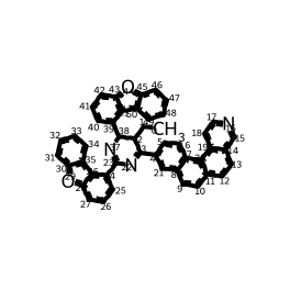 CCC1C(c2ccc3c(ccc4ccc5cnccc5c43)c2)=NC(c2cccc3oc4ccccc4c23)=NC1c1cccc2oc3ccccc3c12